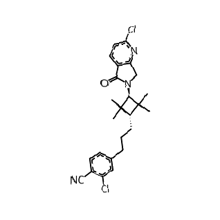 CC1(C)[C@H](CCCc2ccc(C#N)c(Cl)c2)C(C)(C)[C@H]1N1Cc2nc(Cl)ccc2C1=O